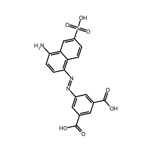 Nc1ccc(N=Nc2cc(C(=O)O)cc(C(=O)O)c2)c2ccc(S(=O)(=O)O)cc12